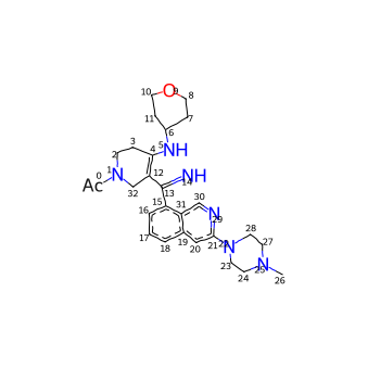 CC(=O)N1CCC(NC2CCOCC2)=C(C(=N)c2cccc3cc(N4CCN(C)CC4)ncc23)C1